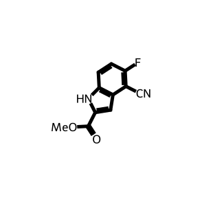 COC(=O)c1cc2c(C#N)c(F)ccc2[nH]1